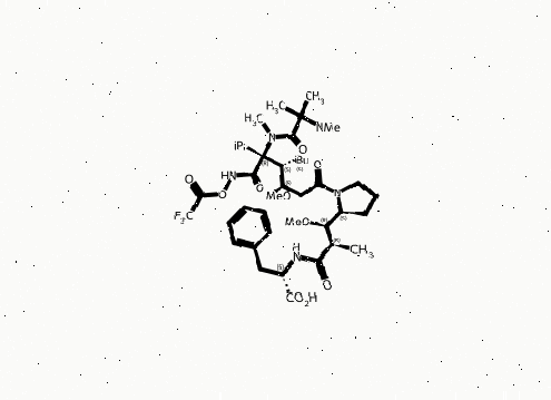 CC[C@H](C)[C@H]([C@@H](CC(=O)N1CCC[C@H]1[C@H](OC)[C@@H](C)C(=O)N[C@@H](Cc1ccccc1)C(=O)O)OC)[C@@](C(=O)NOC(=O)C(F)(F)F)(C(C)C)N(C)C(=O)C(C)(C)NC